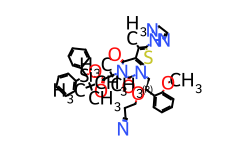 COc1ccccc1[C@H](Cn1c(=O)n(C(C)(C)C(=O)O[Si](c2ccccc2)(c2ccccc2)C(C)(C)C)c(=O)c2c(C)c(-n3nccn3)sc21)OCCC#N